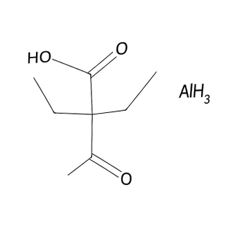 CCC(CC)(C(C)=O)C(=O)O.[AlH3]